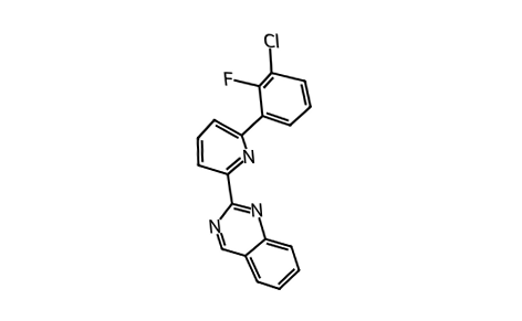 Fc1c(Cl)cccc1-c1cccc(-c2ncc3ccccc3n2)n1